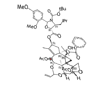 C=CC1O[C@H]2C[C@H]3OC[C@@]3(OC(C)=O)[C@@]34C[C@@]3(OC(=O)c3ccccc3)[C@]3(C(C)(C)O)C[C@H](OC(=O)[C@@H]5OC(c6ccc(OC)cc6OC)N(C(=O)OC(C)(C)C)[C@H]5CC(C)C)C(C)=C3[C@H](OC(C)=O)[C@H](O1)[C@]24C